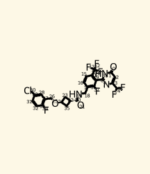 O=c1cc(C(F)F)nc(-c2c(C(F)(F)F)ccc(CNC(=O)[C@H]3C[C@H](OCc4cc(Cl)ccc4F)C3)c2F)[nH]1